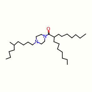 CCCCCCCC(CCCCCCC)C(=O)N1CCN(CCCCC(C)CCCC)CC1